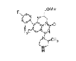 COC[C@@H]1Cn2c(=O)nc(N3CCNC[C@@H]3C)c3cc(C(F)(F)F)c(-c4ccc(F)cc4F)c(c32)S1